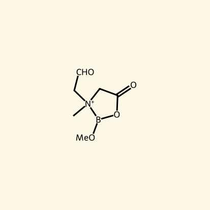 COB1OC(=O)C[N+]1(C)CC=O